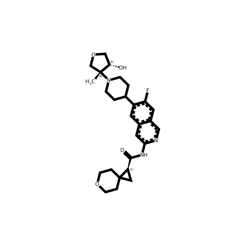 C[C@@]1(N2CCC(c3cc4cc(NC(=O)[C@H]5CC56CCOCC6)ncc4cc3F)CC2)COC[C@@H]1O